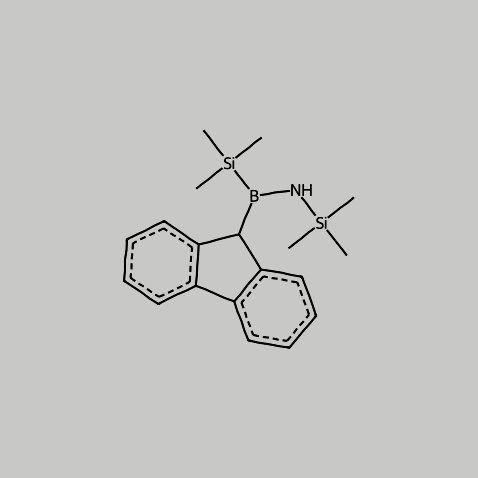 C[Si](C)(C)NB(C1c2ccccc2-c2ccccc21)[Si](C)(C)C